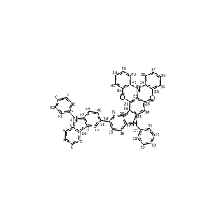 c1ccc(-n2c3ccccc3c3cc(-c4ccc5c(c4)c4c6c7c(cc4n5-c4ccccc4)Oc4ccccc4N7c4ccccc4O6)ccc32)cc1